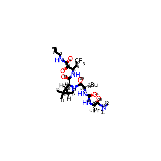 C=CCNC(=O)C(=O)C(CC(F)(F)F)NC(=O)[C@@H]1[C@@H]2[C@H](CN1C(=O)[C@@H](NC(=O)N[C@H](C(=O)N(C)C)C(C)C)C(C)(C)C)C2(C)C